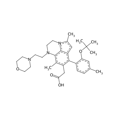 Cc1ccc(-c2c(CC(=O)O)c(C)c3c4c2cc(C)n4CCN3CCN2CCOCC2)c(OC(C)(C)C)c1